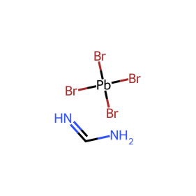 N=CN.[Br][Pb]([Br])([Br])[Br]